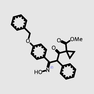 COC(=O)C1(C(=O)C(/C(=N/O)c2ccc(OCc3ccccc3)cc2)c2ccccc2)CC1